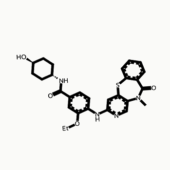 CCOc1cc(C(=O)N[C@H]2CC[C@H](O)CC2)ccc1Nc1cc2c(cn1)N(C)C(=O)c1ccccc1S2